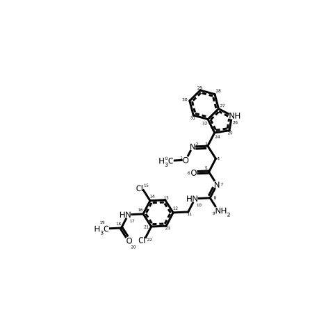 CON=C(CC(=O)N=C(N)NCc1cc(Cl)c(NC(C)=O)c(Cl)c1)c1c[nH]c2ccccc12